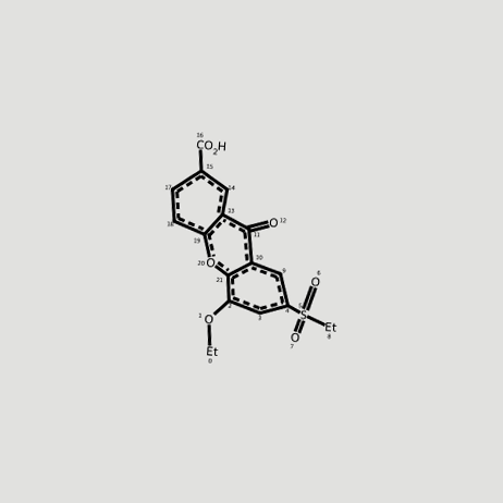 CCOc1cc(S(=O)(=O)CC)cc2c(=O)c3cc(C(=O)O)ccc3oc12